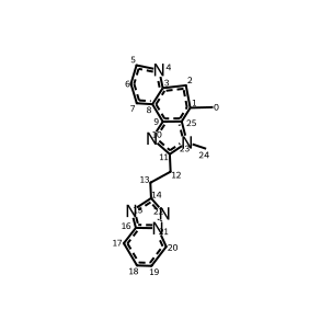 Cc1cc2ncccc2c2nc(CCc3nc4ccccn4n3)n(C)c12